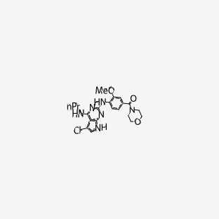 CCCNc1nc(Nc2ccc(C(=O)N3CCOCC3)cc2OC)nc2[nH]cc(Cl)c12